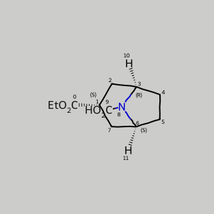 CCOC(=O)[C@@H]1C[C@H]2CC[C@@H](C1)N2C(=O)O